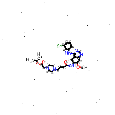 COc1cc2ncnc(Nc3cccc(Br)c3)c2cc1NC(=O)C=CCN1CCN(CC(=O)OC(C)C)CC1